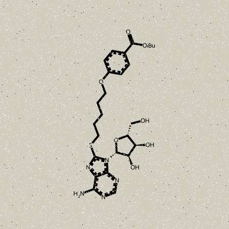 CC(C)COC(=O)c1ccc(OCCCCCSc2nc3c(N)ncnc3n2[C@@H]2O[C@H](CO)[C@@H](O)[C@H]2O)cc1